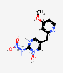 COc1ccnc(Cc2cnc(N[N+](=O)[O-])[n+]([O-])c2)c1